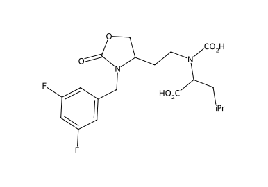 CC(C)CC(C(=O)O)N(CCC1COC(=O)N1Cc1cc(F)cc(F)c1)C(=O)O